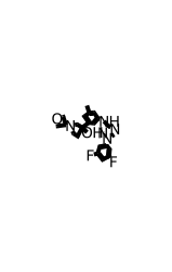 Cc1cc(Nc2ncn(-c3cc(F)cc(F)c3)n2)cc(C2(O)CCN(C3COC3)C2)c1